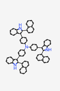 c1ccc2c(-c3[nH]c4ccccc4c3-c3ccc(N(c4ccc(-c5c(-c6cccc7ccccc67)[nH]c6ccccc56)cc4)c4ccc(-c5c(-c6cccc7ccccc67)[nH]c6ccccc56)cc4)cc3)cccc2c1